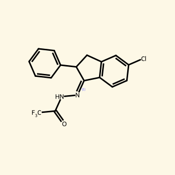 O=C(N/N=C1/c2ccc(Cl)cc2CC1c1ccccc1)C(F)(F)F